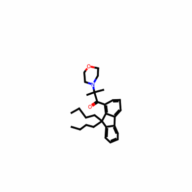 CCCCC1(CCCC)c2ccccc2-c2cccc(C(=O)C(C)(C)N3CCOCC3)c21